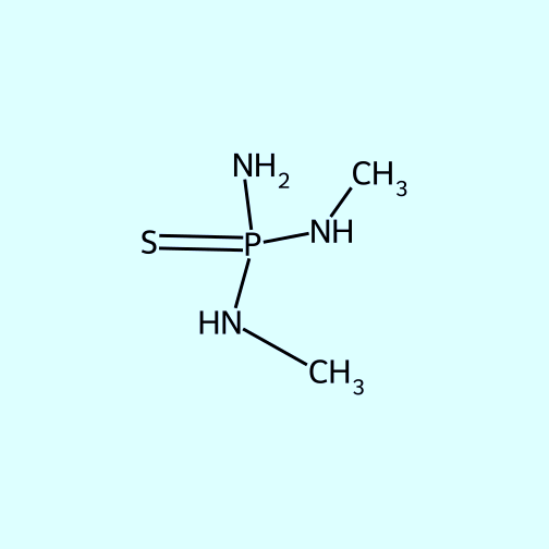 CNP(N)(=S)NC